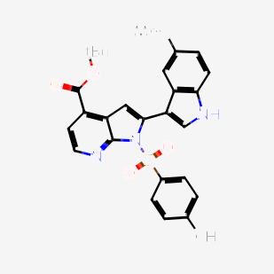 COc1ccc2[nH]cc(-c3cc4c(C(=O)OC(C)(C)C)ccnc4n3S(=O)(=O)c3ccc(C)cc3)c2c1